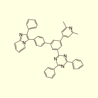 Cc1cc(-c2cc(-c3ccc(-c4c(-c5ccccc5)nc5ccccn45)cc3)cc(-c3nc(-c4ccccc4)nc(-c4ccccc4)n3)c2)cc(C)n1